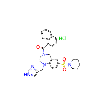 Cl.O=C(c1cccc2ccccc12)N1CCN(Cc2c[nH]cn2)c2ccc(S(=O)(=O)N3CCCCC3)cc2C1